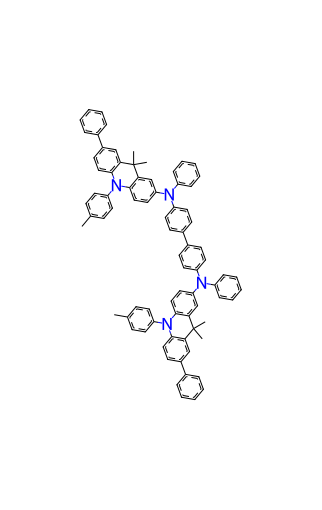 Cc1ccc(N2c3ccc(-c4ccccc4)cc3C(C)(C)c3cc(N(c4ccccc4)c4ccc(-c5ccc(N(c6ccccc6)c6ccc7c(c6)C(C)(C)c6cc(-c8ccccc8)ccc6N7c6ccc(C)cc6)cc5)cc4)ccc32)cc1